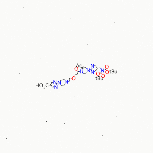 CC(=O)[C@@H]1CN(c2ncc(CN(C(=O)OC(C)(C)C)C(=O)OC(C)(C)C)cn2)CCN1C(=O)CCOCCN1CCN(c2ncc(C(=O)O)cn2)CC1